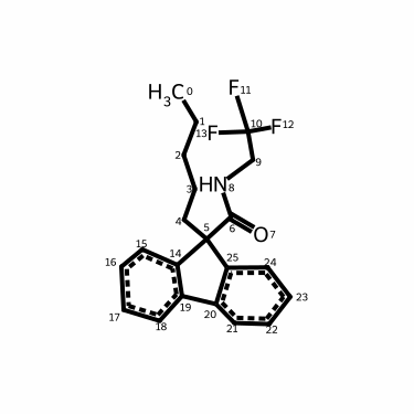 CCCCCC1(C(=O)NCC(F)(F)F)c2ccccc2-c2ccccc21